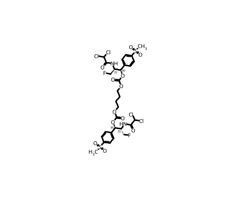 CS(=O)(=O)c1ccc([C@@H](OC(=O)OCCCCOC(=O)O[C@H](c2ccc(S(C)(=O)=O)cc2)[C@@H](CF)NC(=O)C(Cl)Cl)[C@@H](CF)NC(=O)C(Cl)Cl)cc1